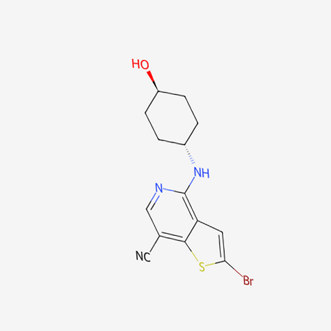 N#Cc1cnc(N[C@H]2CC[C@H](O)CC2)c2cc(Br)sc12